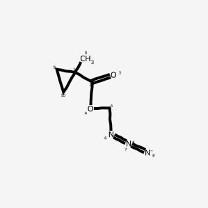 CC1(C(=O)OCN=[N+]=[N-])CC1